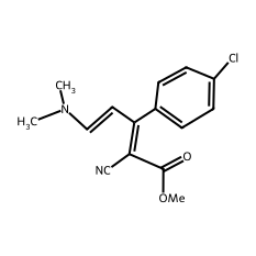 COC(=O)C(C#N)=C(C=CN(C)C)c1ccc(Cl)cc1